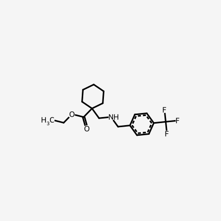 CCOC(=O)C1(CNCc2ccc(C(F)(F)F)cc2)CCCCC1